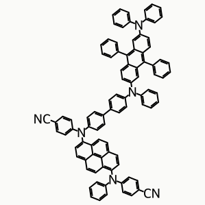 N#Cc1ccc(N(c2ccccc2)c2ccc3ccc4c(N(c5ccc(C#N)cc5)c5ccc(-c6ccc(N(c7ccccc7)c7ccc8c(-c9ccccc9)c9cc(N(c%10ccccc%10)c%10ccccc%10)ccc9c(-c9ccccc9)c8c7)cc6)cc5)ccc5ccc2c3c54)cc1